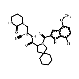 COc1ccc(Cl)c2[nH]c(C(=O)N3CC4(CCCCC4)CC3C(=O)N[C@H](C#N)C[C@@H]3CCCNC3=O)cc12